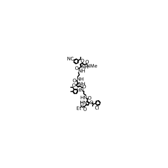 CCNC(=O)c1cc(OC(C)c2ccccc2Cl)c(C(=O)NCCCNC(=O)c2cc(OC(C)c3ccccc3C)c(C(=O)NCCCNC(=O)c3cc(OC(C)c4cccc(C#N)c4)c(C(=O)NC)[nH]3)[nH]2)[nH]1